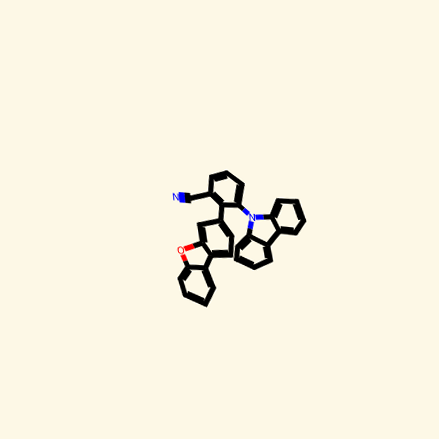 N#Cc1cccc(-n2c3ccccc3c3ccccc32)c1-c1ccc2c(c1)oc1ccccc12